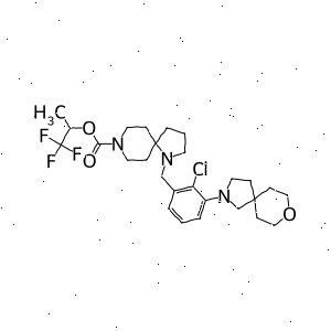 CC(OC(=O)N1CCC2(CCCN2Cc2cccc(N3CCC4(CCOCC4)C3)c2Cl)CC1)C(F)(F)F